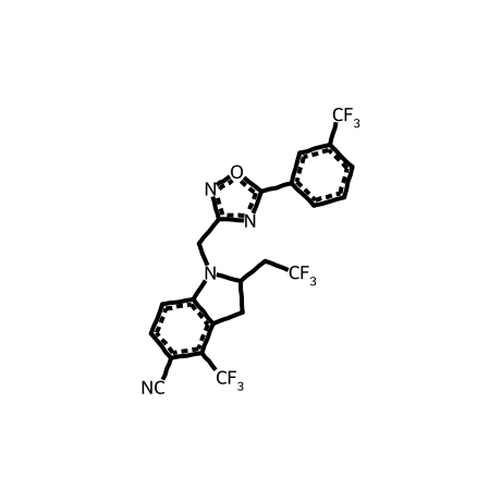 N#Cc1ccc2c(c1C(F)(F)F)CC(CC(F)(F)F)N2Cc1noc(-c2cccc(C(F)(F)F)c2)n1